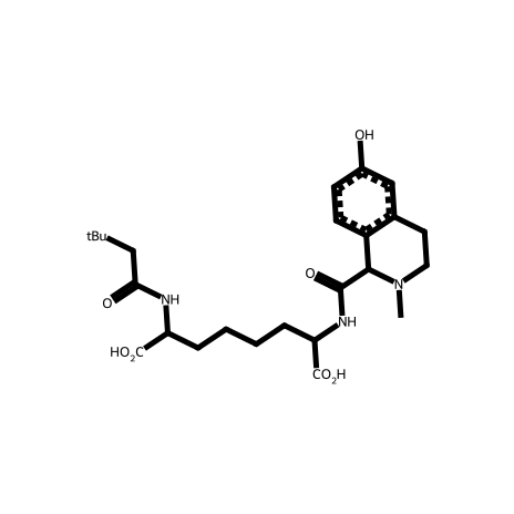 CN1CCc2cc(O)ccc2C1C(=O)NC(CCCCC(NC(=O)CC(C)(C)C)C(=O)O)C(=O)O